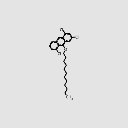 CCCCCCCCCCCCOc1c2cc(Cl)cc(Cl)c2cc2cccc(Cl)c12